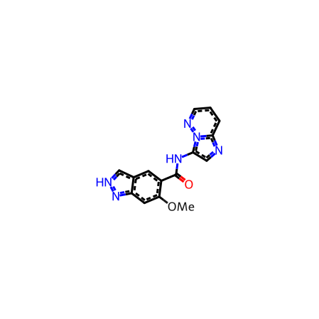 COc1cc2n[nH]cc2cc1C(=O)Nc1cnc2cccnn12